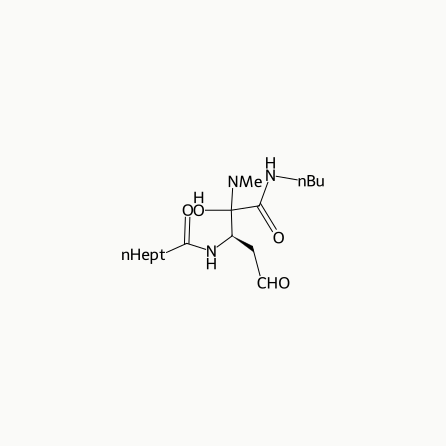 CCCCCCCC(=O)N[C@H](CC=O)C(O)(NC)C(=O)NCCCC